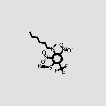 CCCCCCN(C)c1c([N+](=O)[O-])cc(C(F)(F)F)c(SC#N)c1[N+](=O)[O-]